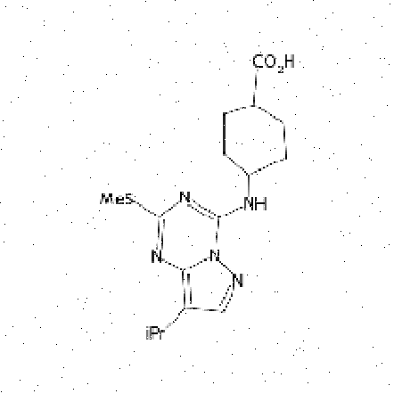 CSc1nc(NC2CCC(C(=O)O)CC2)n2ncc(C(C)C)c2n1